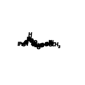 Cc1nnc(-c2ccc(C3=CCN(C(=O)CN4CC[C@]5(CCN(c6ccc7[nH]nc(-c8ccc(OC(C)C)nc8)c7c6)C5=O)C4)CC3)cc2)o1